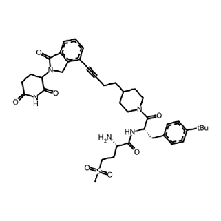 CC(C)(C)c1ccc(C[C@H](NC(=O)[C@@H](N)CCS(C)(=O)=O)C(=O)N2CCC(CCC#Cc3cccc4c3CN(C3CCC(=O)NC3=O)C4=O)CC2)cc1